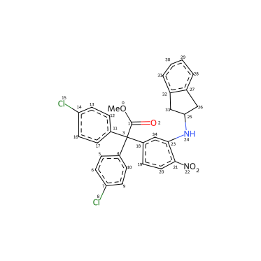 COC(=O)C(c1ccc(Cl)cc1)(c1ccc(Cl)cc1)c1ccc([N+](=O)[O-])c(NC2Cc3ccccc3C2)c1